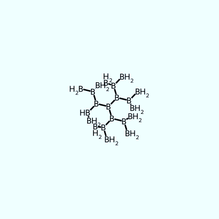 BBB(B(B)B)B(B(B(B)B)B(B)B)B(B(B)B)B(B)B